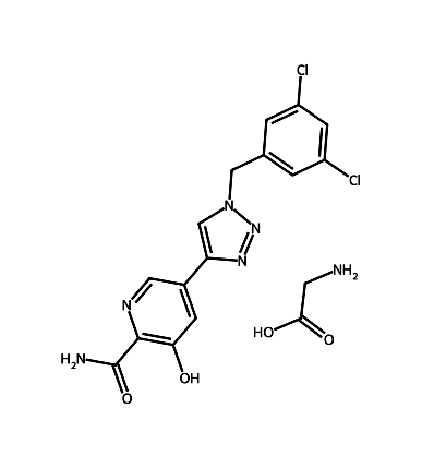 NC(=O)c1ncc(-c2cn(Cc3cc(Cl)cc(Cl)c3)nn2)cc1O.NCC(=O)O